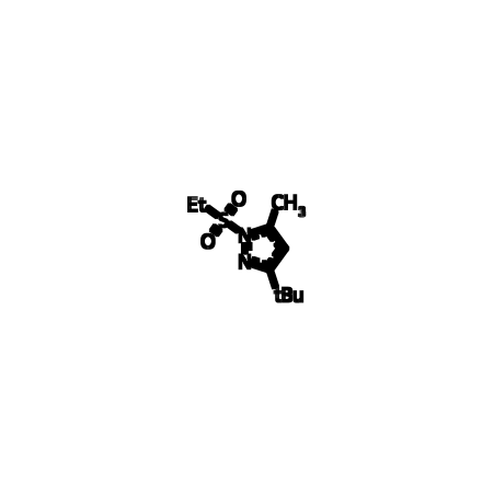 CCS(=O)(=O)n1nc(C(C)(C)C)cc1C